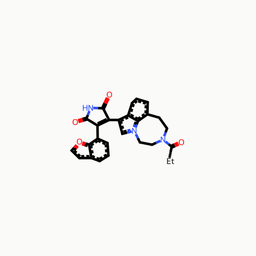 CCC(=O)N1CCc2cccc3c(C4=C(c5cccc6ccoc56)C(=O)NC4=O)cn(c23)CC1